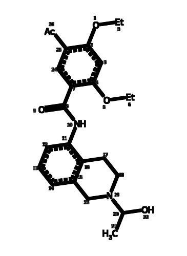 CCOc1cc(OCC)c(C(=O)Nc2cccc3c2CCN(C(C)O)C3)cc1C(C)=O